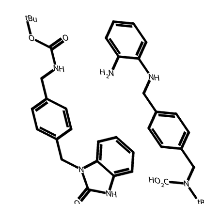 CC(C)(C)N(Cc1ccc(CNc2ccccc2N)cc1)C(=O)O.CC(C)(C)OC(=O)NCc1ccc(Cn2c(=O)[nH]c3ccccc32)cc1